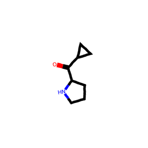 O=C(C1CC1)C1CCCN1